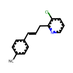 N#Cc1ccc(C=CCc2ncc[c]c2Cl)cc1